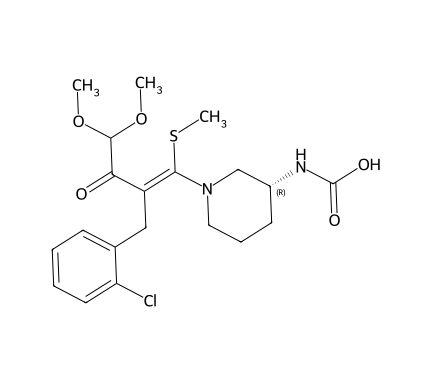 COC(OC)C(=O)C(Cc1ccccc1Cl)=C(SC)N1CCC[C@@H](NC(=O)O)C1